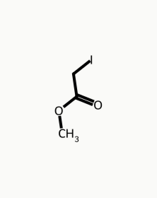 COC(=O)CI